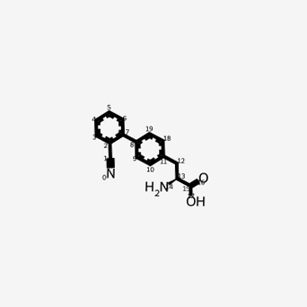 N#Cc1ccccc1-c1ccc(C[C@H](N)C(=O)O)cc1